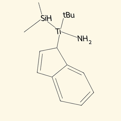 C[SiH](C)[Ti]([NH2])([CH]1C=Cc2ccccc21)[C](C)(C)C